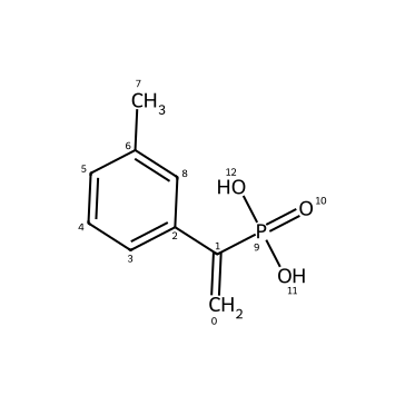 C=C(c1cccc(C)c1)P(=O)(O)O